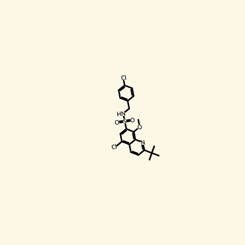 COc1c(S(=O)(=O)NCc2ccc(Cl)cc2)cc(Cl)c2ccc(C(C)(C)C)nc12